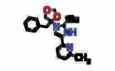 Cc1cccc(C2=CN(C3(Cc4ccccc4)COCO3)C(C(C)(C)C)N2)n1